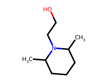 CC1CCCC(C)N1CCO